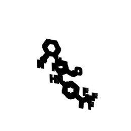 CC(c1ccc(Nc2nn(C3CCCCC3C#N)cc2C=O)cc1)C(F)(F)F